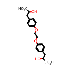 O=C(O)C(O)Cc1ccc(OCCOc2ccc(CC(O)C(=O)O)cc2)cc1